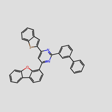 c1ccc(-c2cccc(-c3nc(-c4cc5ccccc5s4)cc(-c4cccc5c4oc4ccccc45)n3)c2)cc1